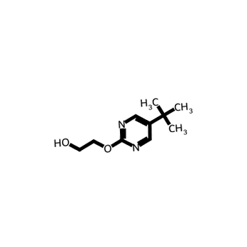 CC(C)(C)c1cnc(OCCO)nc1